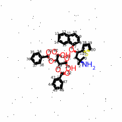 CC(C)(N)CC(Oc1cccc2ccccc12)c1cccs1.O=C(O[C@@H](C(=O)O)[C@@H](OC(=O)c1ccccc1)C(=O)O)c1ccccc1